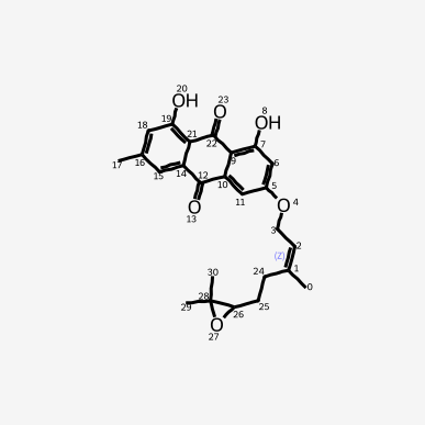 C/C(=C/COc1cc(O)c2c(c1)C(=O)c1cc(C)cc(O)c1C2=O)CCC1OC1(C)C